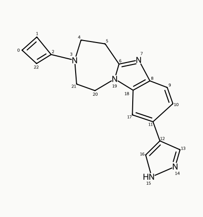 C1=CC(N2CCc3nc4ccc(-c5cn[nH]c5)cc4n3CC2)=C1